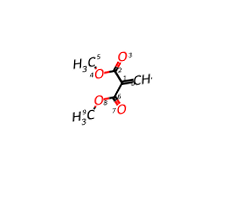 [CH]=C(C(=O)OC)C(=O)OC